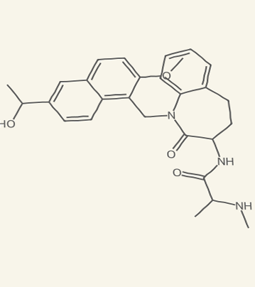 CNC(C)C(=O)NC1CCc2ccccc2N(Cc2c(OC)ccc3cc(C(C)O)ccc23)C1=O